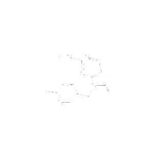 Cc1ccc(Cn2c(=O)sc3cnc(N)nc32)cn1